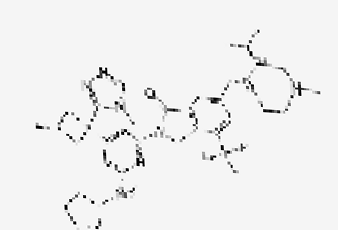 CC(C)[C@H]1CN(C)CCN1Cc1cc2c(c(C(F)(F)F)c1)CN(c1cc([C@]3(c4nncn4C)C[C@@H](C)C3)cc(NC3CCCC3)n1)C2=O